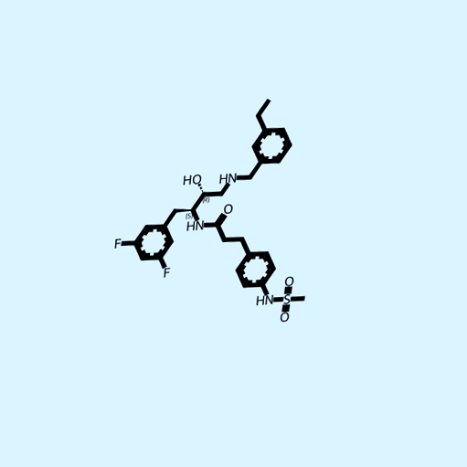 CCc1cccc(CNC[C@@H](O)[C@H](Cc2cc(F)cc(F)c2)NC(=O)CCc2ccc(NS(C)(=O)=O)cc2)c1